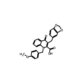 COc1ccc(Cn2c(C(=O)O)c(Cc3ccc4c(c3)OCO4)c(=O)c3ccccc32)cc1